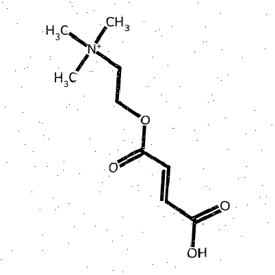 C[N+](C)(C)CCOC(=O)C=CC(=O)O